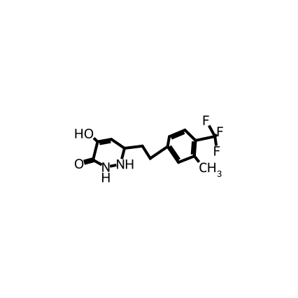 Cc1cc(CCC2C=C(O)C(=O)NN2)ccc1C(F)(F)F